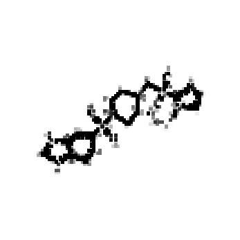 Cn1ccnc1S(=O)(=O)C[C@@H]1CCN(S(=O)(=O)c2ccc3ncsc3c2)C[C@H]1F